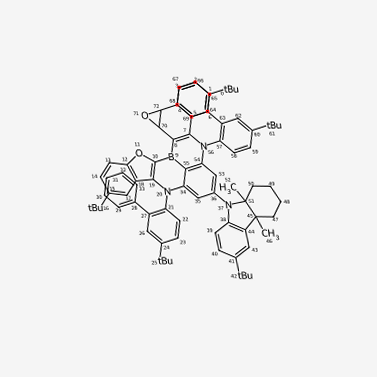 CC(C)(C)c1ccc2c(c1)C1=C(B3c4oc5ccc(C(C)(C)C)cc5c4N(c4ccc(C(C)(C)C)cc4-c4ccccc4)c4cc(N5c6ccc(C(C)(C)C)cc6C6(C)CCCCC56C)cc(c43)N1c1ccc(C(C)(C)C)cc1-c1ccccc1)C1OC21